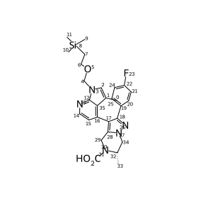 Cc1cn(COCC[Si](C)(C)C)c2nccc(-c3c(-c4ccc(F)cc4)nn4c3CN(C(=O)O)[C@@H](C)C4)c12